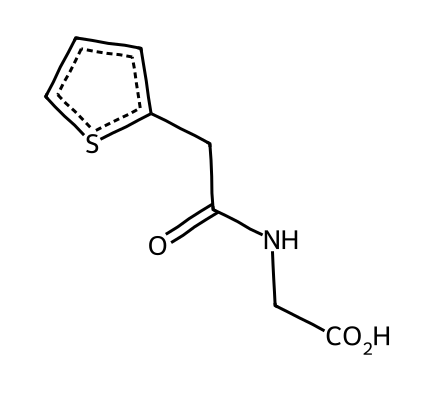 O=C(O)CNC(=O)Cc1cccs1